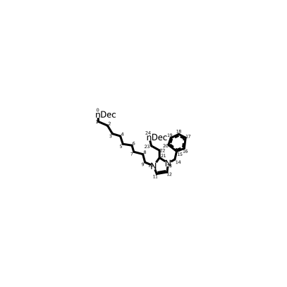 CCCCCCCCCCCCCCCCCCCN1C=CN(Cc2ccccc2)C1CCCCCCCCCCCC